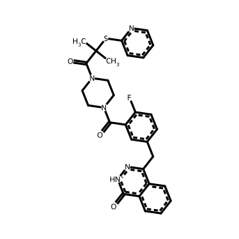 CC(C)(Sc1ccccn1)C(=O)N1CCN(C(=O)c2cc(Cc3n[nH]c(=O)c4ccccc34)ccc2F)CC1